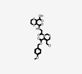 COc1ccc(COC(=O)C2=C(CCl)CSCN2C(=O)CNC(=O)C2=C(C(=O)O)SCCS2)cc1